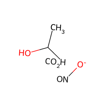 CC(O)C(=O)O.O=[NH+][O-]